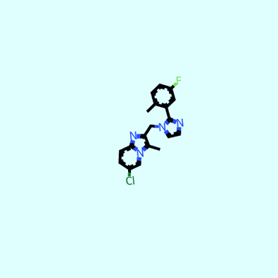 Cc1ccc(F)cc1-c1nccn1Cc1nc2ccc(Cl)cn2c1C